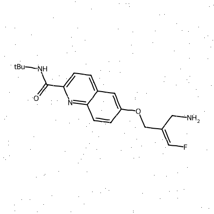 CC(C)(C)NC(=O)c1ccc2cc(OC/C(=C/F)CN)ccc2n1